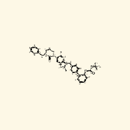 Cc1nc2c(cc1N1CCCN(Cc3ccccc3)C1=O)nc(C)n2Cc1ccc(-c2ccccc2OC(=O)OC(C)(C)C)cc1